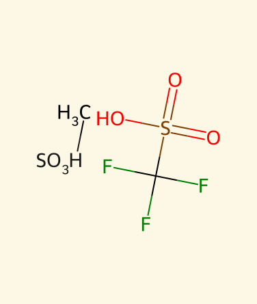 CS(=O)(=O)O.O=S(=O)(O)C(F)(F)F